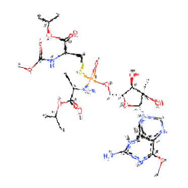 COC(=O)N[C@H](CSP(=O)(N[C@H](C)C(=O)OC(C)C)OC[C@H]1O[C@@H](n2cnc3c(OC)nc(N)nc32)[C@](C)(O)[C@@H]1O)C(=O)OC(C)C